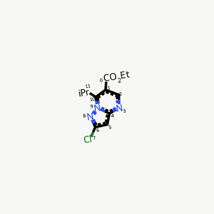 CCOC(=O)c1cnc2cc(Cl)nn2c1C(C)C